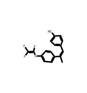 CC(=Cc1ccc(C#N)cc1)c1ccc(OC(F)=C(F)F)cc1